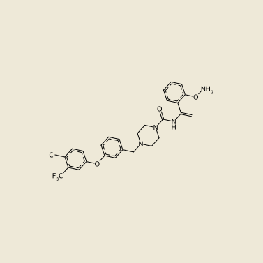 C=C(NC(=O)N1CCN(Cc2cccc(Oc3ccc(Cl)c(C(F)(F)F)c3)c2)CC1)c1ccccc1ON